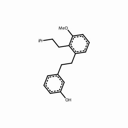 COc1cccc(CCc2cccc(O)c2)c1CCC(C)C